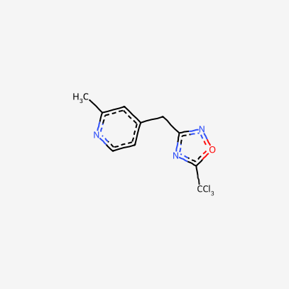 Cc1cc(Cc2noc(C(Cl)(Cl)Cl)n2)ccn1